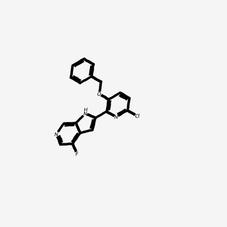 Fc1cncc2[nH]c(-c3nc(Cl)ccc3OCc3ccccc3)cc12